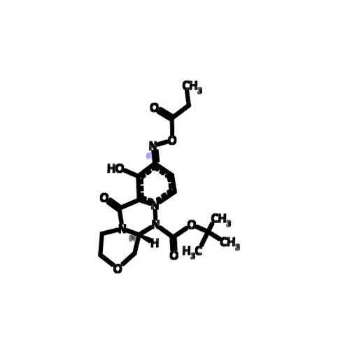 CCC(=O)O/N=c1\ccn2c(c1O)C(=O)N1CCOC[C@H]1N2C(=O)OC(C)(C)C